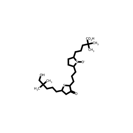 CC(C)(CO)CCCC1CC(=O)C(CCCC2CCC(CCCC(C)(C)C(=O)O)[S+]2[O-])S1